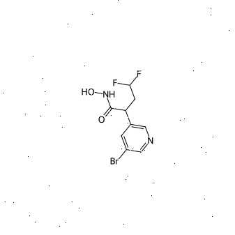 O=C(NO)C(CC(F)F)c1cncc(Br)c1